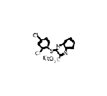 CCOC(=O)c1nc2ccccc2nc1Sc1ccc(Cl)cc1Cl